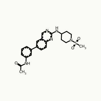 CC(=O)Nc1cccc(-c2ccc3nc(NC4CCN(S(C)(=O)=O)CC4)ncc3c2)c1